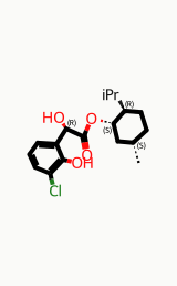 CC(C)[C@H]1CC[C@H](C)C[C@@H]1OC(=O)[C@H](O)c1cccc(Cl)c1O